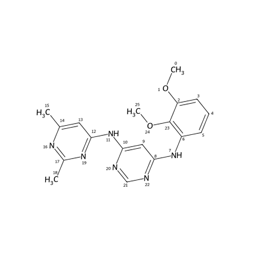 COc1cccc(Nc2cc(Nc3cc(C)nc(C)n3)ncn2)c1OC